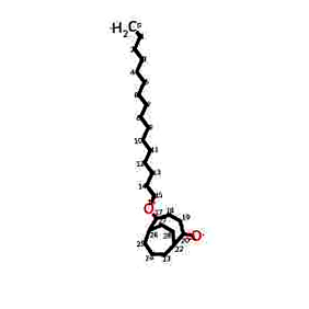 [CH2]CCCCCCCCCCCCCCCOC1CCC([O])C2CCCC1CC2